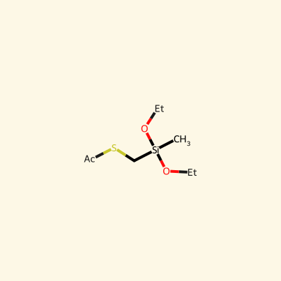 CCO[Si](C)(CSC(C)=O)OCC